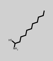 CCCCCCCCCCC(N)S